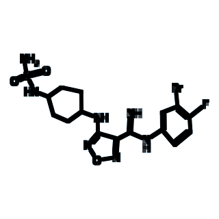 N=C(Nc1ccc(F)c(Br)c1)c1nonc1NC1CCC(NS(N)(=O)=O)CC1